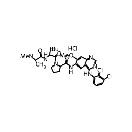 CNC(C)C(=O)NC(C(=O)N1CCCC1C(=O)Nc1cc2c(Nc3cccc(Cl)c3Cl)ncnc2cc1OC)C(C)(C)C.Cl